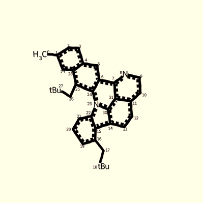 Cc1ccc2cc3c4nccc5ccc6c7c(CC(C)(C)C)cccc7n(c3c(CC(C)(C)C)c2c1)c6c54